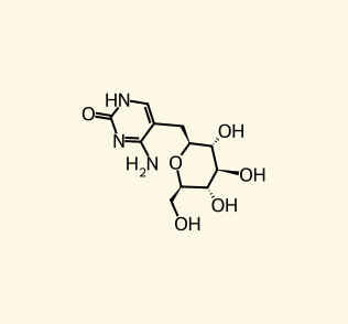 Nc1nc(=O)[nH]cc1C[C@@H]1O[C@H](CO)[C@@H](O)[C@H](O)[C@H]1O